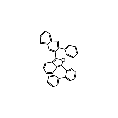 c1ccc(-c2ccccc2-c2oc(-c3cc4ccccc4cc3-c3ccccc3)c3ccccc23)cc1